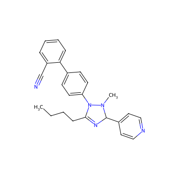 CCCCC1=NC(c2ccncc2)N(C)N1c1ccc(-c2ccccc2C#N)cc1